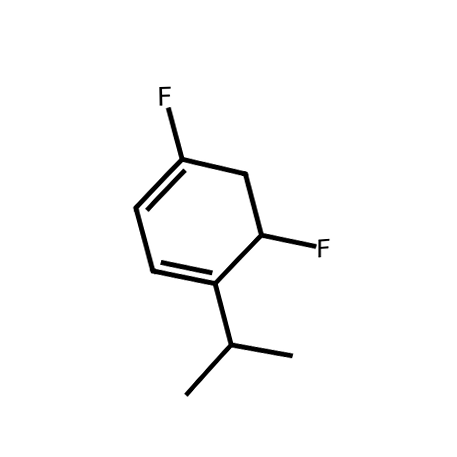 CC(C)C1=CC=C(F)CC1F